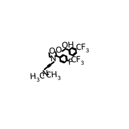 CN(C)CC#CCN1CCOC(OC[C@H](O)c2cc(C(F)(F)F)cc(C(F)(F)F)c2)C1c1ccc(F)cc1